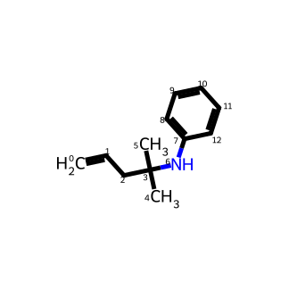 C=CCC(C)(C)Nc1ccccc1